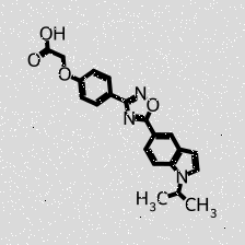 CC(C)n1ccc2cc(-c3nc(-c4ccc(OCC(=O)O)cc4)no3)ccc21